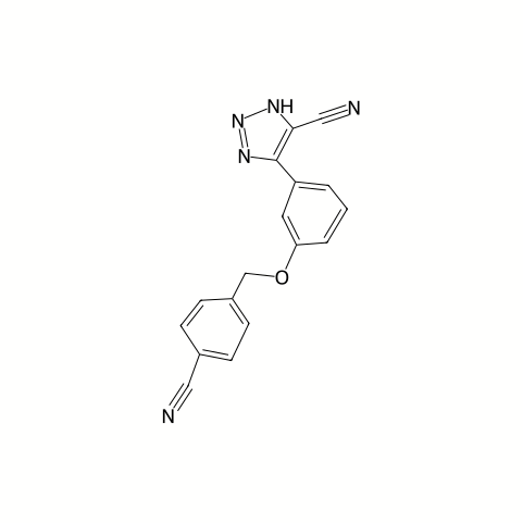 N#Cc1ccc(COc2cccc(-c3nn[nH]c3C#N)c2)cc1